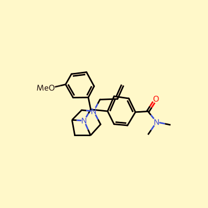 C=CCN1CC2CC(C1)N2C(c1ccc(C(=O)N(C)C)cc1)c1cccc(OC)c1